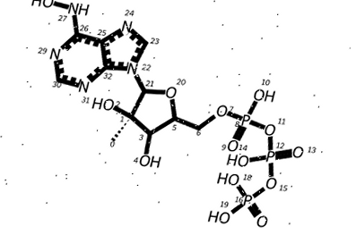 C[C@@]1(O)C(O)C(COP(=O)(O)OP(=O)(O)OP(=O)(O)O)OC1n1cnc2c(NO)ncnc21